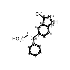 O=C(O)C[C@@H](c1ccccc1)c1ccc2[nH]nc(Cl)c2c1